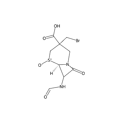 O=CNC1C(=O)N2CC(CBr)(C(=O)O)C[S+]([O-])[C@H]12